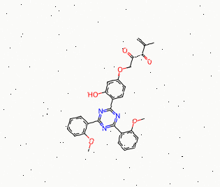 C=C(C)C(=O)C(=O)COc1ccc(-c2nc(-c3ccccc3OC)nc(-c3ccccc3OC)n2)c(O)c1